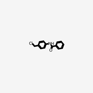 O=C(Nc1ccc(CCl)cc1)c1ccccc1